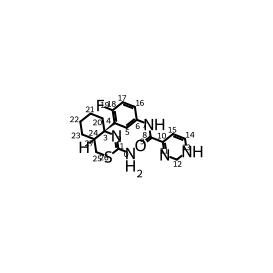 NC1=N[C@@]2(c3cc(NC(=O)C4=NCNC=C4)ccc3F)CCCC[C@H]2CS1